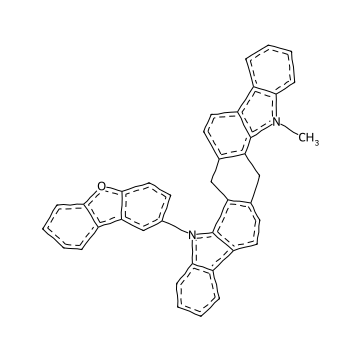 Cn1c2ccccc2c2ccc3c(c21)Cc1ccc2c4ccccc4n(-c4ccc5oc6ccccc6c5c4)c2c1C3